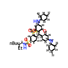 CCCCC(CC)CNS(=O)(=O)c1ccc(-c2c3cc/c(=N\c4ccc(C)cc4C)cc-3oc3cc(Nc4ccc(C)cc4C)ccc23)c([SH](=O)=O)c1